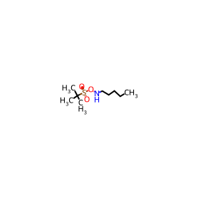 CCCCCNOS(=O)(=O)C(C)(C)C